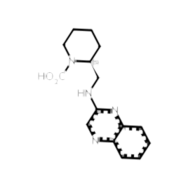 O=C(O)N1CCCC[C@H]1CNc1cnc2ccccc2n1